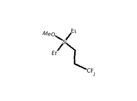 CC[Si](CC)(CCC(F)(F)F)OC